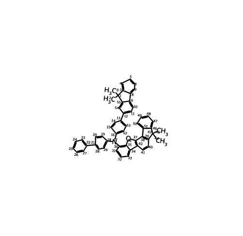 CC1(C)c2ccccc2-c2ccc(-c3ccc(N(c4ccc(-c5ccccc5)cc4)c4cccc5c4oc4c6c(ccc45)C(C)(C)c4ccccc4-6)cc3)cc21